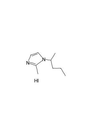 CCCC(C)n1ccnc1C.I